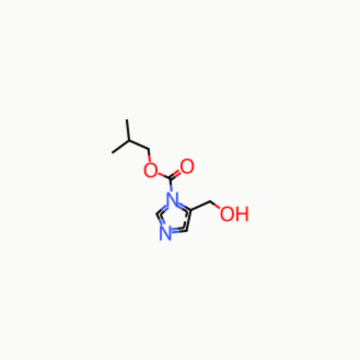 CC(C)COC(=O)n1cncc1CO